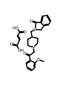 COc1ccccc1C(=O)CN1CCC(CN2Cc3ccccc3C2=O)CC1.O=C(O)C=CC(=O)O